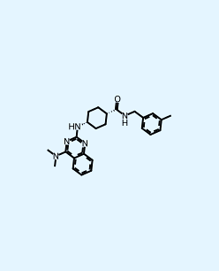 Cc1cccc(CNC(=O)[C@H]2CC[C@@H](Nc3nc(N(C)C)c4ccccc4n3)CC2)c1